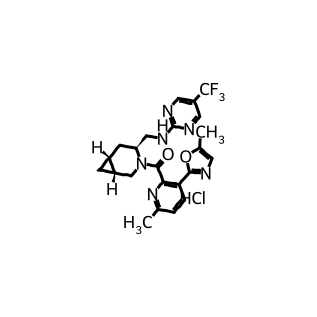 Cc1ccc(-c2ncc(C)o2)c(C(=O)N2C[C@@H]3C[C@@H]3C[C@H]2CNc2ncc(C(F)(F)F)cn2)n1.Cl